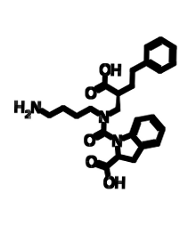 NCCCCN(C[C@H](CCc1ccccc1)C(=O)O)C(=O)N1c2ccccc2CC1C(=O)O